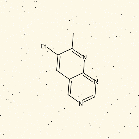 CCc1cc2cncnc2nc1C